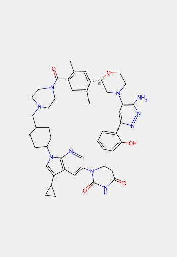 Cc1cc([C@H]2CN(c3cc(-c4ccccc4O)nnc3N)CCO2)c(C)cc1C(=O)N1CCN(CC2CCC(n3cc(C4CC4)c4cc(N5CCC(=O)NC5=O)cnc43)CC2)CC1